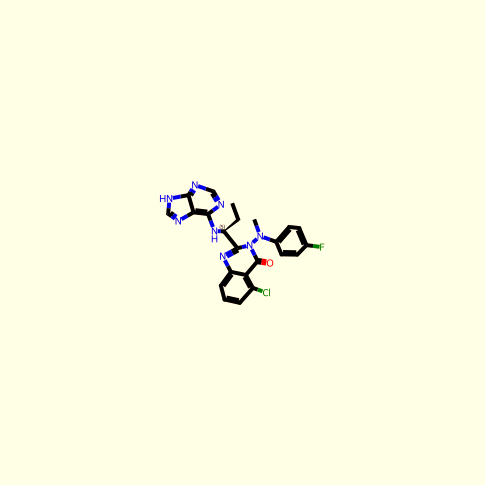 CC[C@H](Nc1ncnc2[nH]cnc12)c1nc2cccc(Cl)c2c(=O)n1N(C)c1ccc(F)cc1